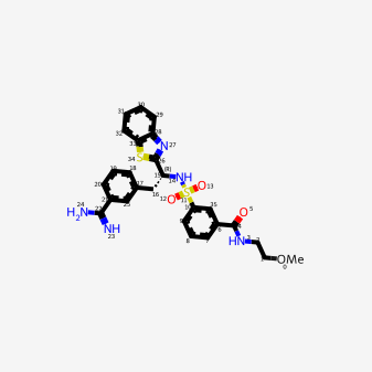 COCCNC(=O)c1cccc(S(=O)(=O)N[C@H](Cc2cccc(C(=N)N)c2)c2nc3ccccc3s2)c1